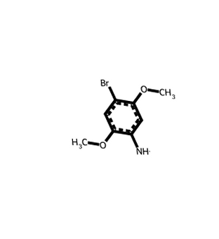 COc1cc(Br)c(OC)cc1[NH]